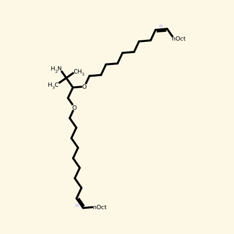 CCCCCCCC/C=C\CCCCCCCCOCC(OCCCCCCCC/C=C\CCCCCCCC)C(C)(C)N